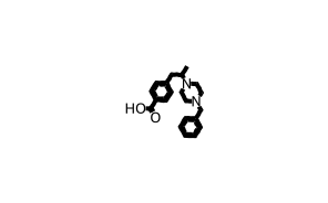 CC(Cc1ccc(C(=O)O)cc1)N1CCN(Cc2ccccc2)CC1